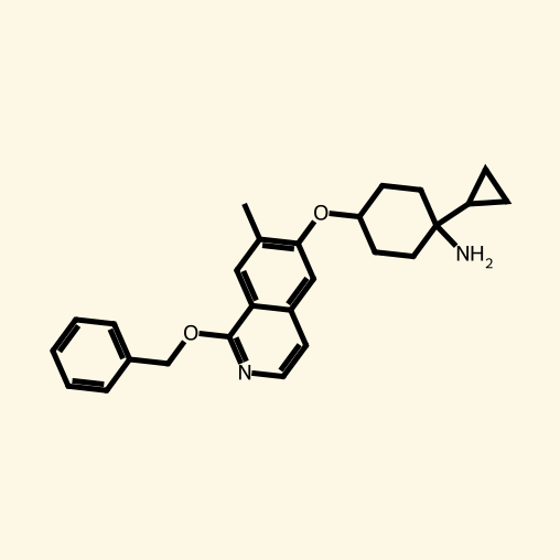 Cc1cc2c(OCc3ccccc3)nccc2cc1OC1CCC(N)(C2CC2)CC1